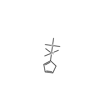 C[Si](C)(C)[Pt]([CH3])([CH3])([CH3])[C]1=CC=CC1